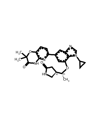 C[C@@H](Oc1cc(-c2ccc3c(n2)NC(=O)C(C)(C)O3)cc2ncn(C3CC3)c12)[C@H]1CNC(=O)C1